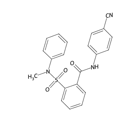 CN(c1ccccc1)S(=O)(=O)c1ccccc1C(=O)Nc1ccc(C#N)cc1